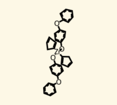 C1=CC[C]([Zr]([O]c2ccc(Oc3ccccc3)cc2)([O]c2ccc(Oc3ccccc3)cc2)[C]2=CC=CC2)=C1